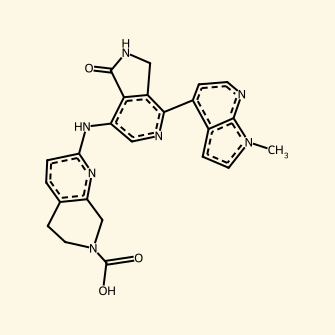 Cn1ccc2c(-c3ncc(Nc4ccc5c(n4)CN(C(=O)O)CC5)c4c3CNC4=O)ccnc21